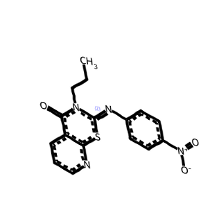 CCCn1c(=O)c2cccnc2s/c1=N\c1ccc([N+](=O)[O-])cc1